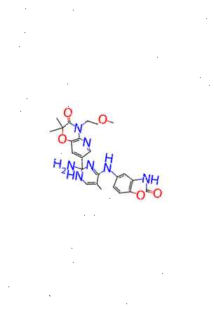 COCCN1C(=O)C(C)(C)Oc2cc(C3(N)N=C(Nc4ccc5oc(=O)[nH]c5c4)C(C)=CN3)cnc21